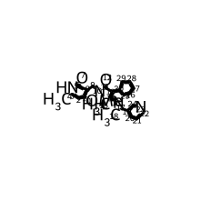 COc1cc(C)[nH]c(=O)c1CNC(=O)c1c(C)n(C(C)c2cccnc2)c2ccccc12